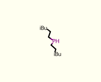 CCC(C)CCPCCC(C)CC